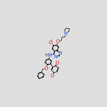 COc1cc2c(Nc3ccc(OCc4ccccc4)c(C4=CC(=O)C=CC4=O)c3)ncnc2cc1OCCCN1CCCC1